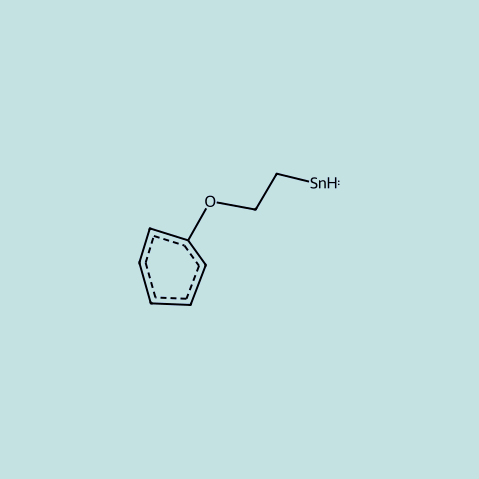 [SnH][CH2]COc1ccccc1